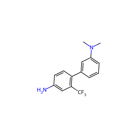 CN(C)c1cccc(-c2ccc(N)cc2C(F)(F)F)c1